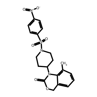 Cc1cccc2c1N(C1CCN(S(=O)(=O)c3ccc([N+](=O)[O-])cc3)CC1)C(=O)OC2